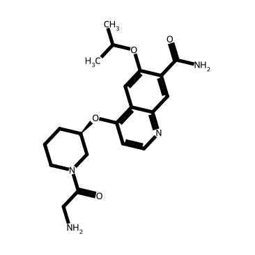 CC(C)Oc1cc2c(O[C@@H]3CCCN(C(=O)CN)C3)ccnc2cc1C(N)=O